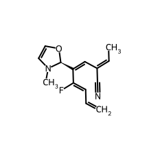 C=C/C=C(F)/C(=C\C(C#N)=C/C)[C@@H]1OC=CN1C